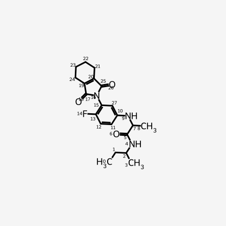 CCC(C)NC(=O)C(C)Nc1ccc(F)c(N2C(=O)C3=C(CCCC3)C2=O)c1